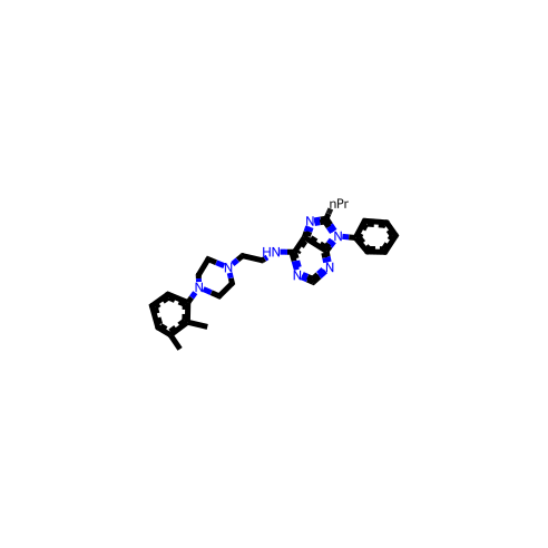 CCCc1nc2c(NCCN3CCN(c4cccc(C)c4C)CC3)ncnc2n1-c1ccccc1